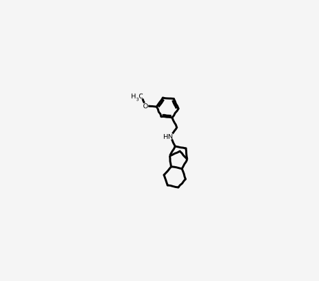 COc1cccc(CNC2CC3CC2C2CCCCC32)c1